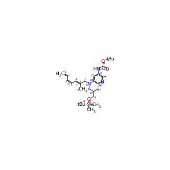 C=C/C=C\C=C(/C)CN1CC(CO[Si](C)(C)C(C)(C)C)Cc2ncc(NC(=O)OC(C)(C)C)cc21